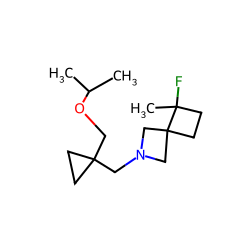 CC(C)OCC1(CN2CC3(CCC3(C)F)C2)CC1